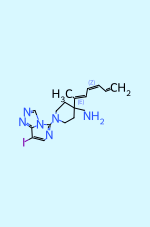 C=C/C=C\C=C(/C)C1(CN)CCN(c2ncc(I)c3nncn23)CC1